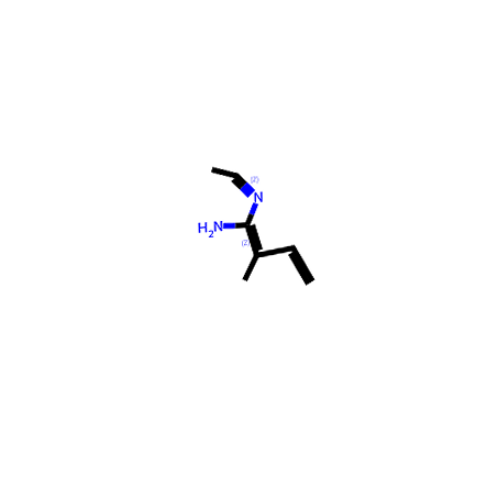 C=C/C(C)=C(N)\N=C/C